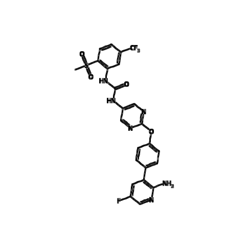 CS(=O)(=O)c1ccc(C(F)(F)F)cc1NC(=O)Nc1cnc(Oc2ccc(-c3cc(F)cnc3N)cc2)nc1